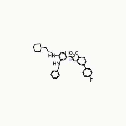 O=C(O)c1ccc(-c2ccc(F)cc2)cc1/C=C/c1ccc(NCCCC2CCCCC2)c(NCc2ccccc2)c1